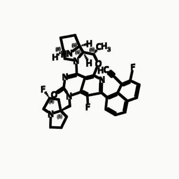 C#Cc1c(F)ccc2cccc(-c3nc4c5c(nc(=O)n(C[C@@]67CCCN6C[C@H](F)C7)c5c3F)N3C[C@H]5CC[C@H](N5)[C@H]3[C@H](C)O4)c12